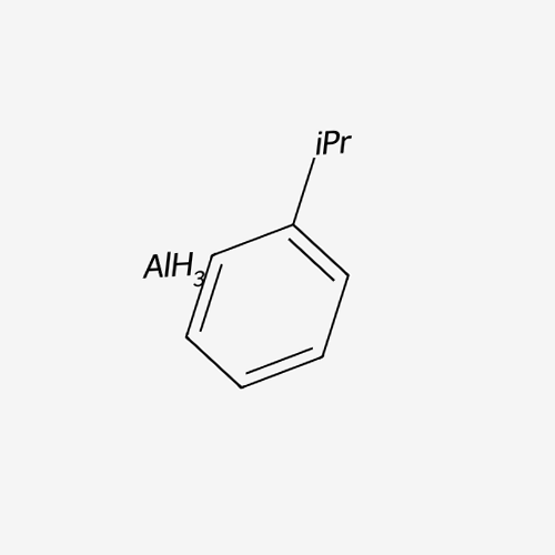 [AlH3].[CH2]C(C)c1ccccc1